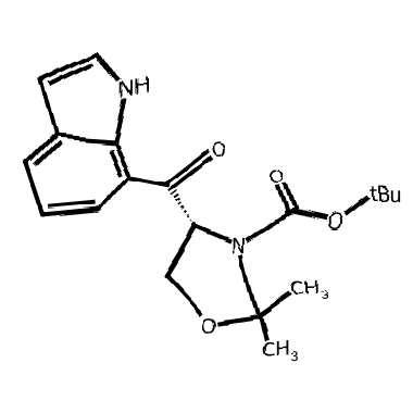 CC(C)(C)OC(=O)N1[C@@H](C(=O)c2cccc3cc[nH]c23)COC1(C)C